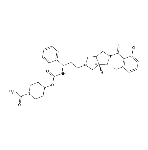 CC(=O)N1CCC(OC(=O)NC(CCN2CC3CN(C(=O)c4c(F)cccc4Cl)C[C@@H]3C2)c2ccccc2)CC1